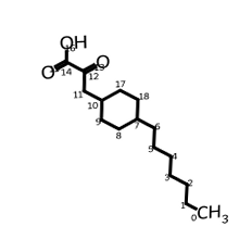 CCCCCCCC1CCC(CC(=O)C(=O)O)CC1